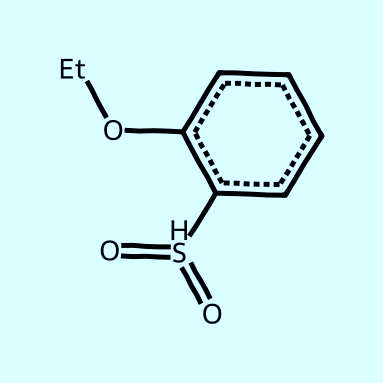 CCOc1ccccc1[SH](=O)=O